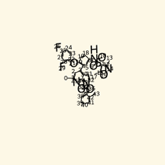 Cc1cc(-c2cc(NS(=O)(=O)c3c(C)noc3C)ccc2Oc2ccc(F)cc2F)c2ccn(S(=O)(=O)c3ccccc3C)c2n1